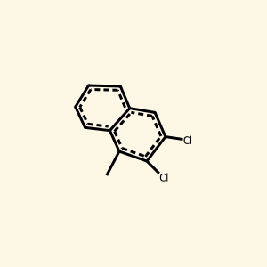 Cc1c(Cl)c(Cl)cc2ccccc12